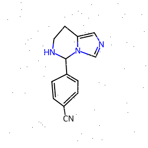 N#Cc1ccc(C2NCCc3cncn32)cc1